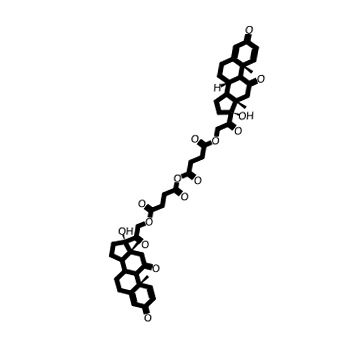 C[C@]12C=CC(=O)C=C1CC[C@@H]1C2C(=O)C[C@@]2(C)C1CC[C@]2(O)C(=O)COC(=O)CCC(=O)OC(=O)CCC(=O)OCC(=O)[C@]1(O)CCC2C3CCC4=CC(=O)C=C[C@@]4(C)C3C(=O)C[C@]21C